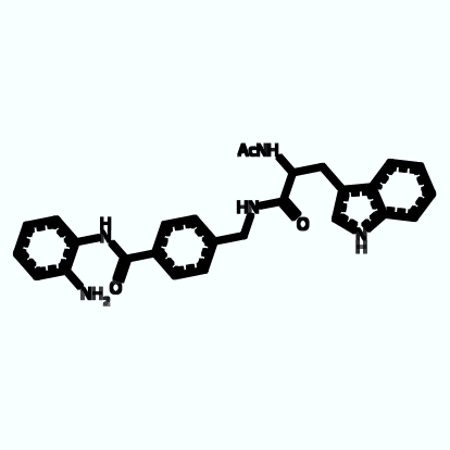 CC(=O)NC(Cc1c[nH]c2ccccc12)C(=O)NCc1ccc(C(=O)Nc2ccccc2N)cc1